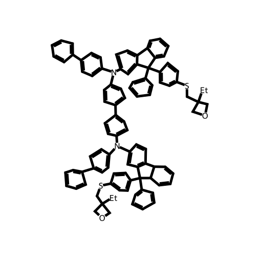 CCC1(CSc2ccc(C3(c4ccccc4)c4ccccc4-c4ccc(N(c5ccc(-c6ccccc6)cc5)c5ccc(-c6ccc(N(c7ccc(-c8ccccc8)cc7)c7ccc8c(c7)C(c7ccccc7)(c7ccc(SCC9(CC)COC9)cc7)C7C=CC=CC87)cc6)cc5)cc43)cc2)COC1